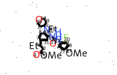 CCC(CC(=O)OC)c1ccc(N(CC)C2CCOCC2)c(NC(=O)Nc2ccc(OC)cc2F)c1